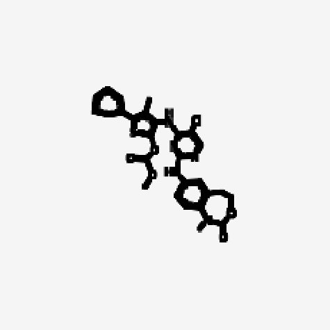 COC(=O)Oc1sc(-c2ccccc2)c(C)c1Nc1nc(Nc2ccc3c(c2)CCOC(=O)N3C)ncc1Cl